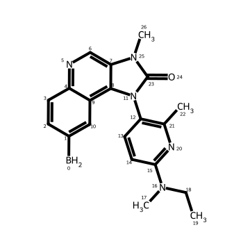 Bc1ccc2ncc3c(c2c1)n(-c1ccc(N(C)CC)nc1C)c(=O)n3C